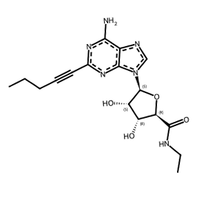 CCCC#Cc1nc(N)c2ncn([C@H]3O[C@@H](C(=O)NCC)[C@H](O)[C@@H]3O)c2n1